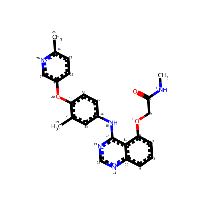 CNC(=O)COc1cccc2ncnc(Nc3ccc(Oc4ccc(C)nc4)c(C)c3)c12